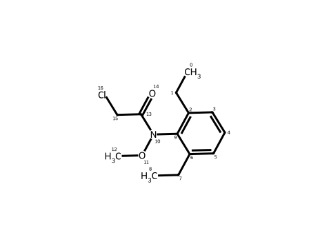 CCc1cccc(CC)c1N(OC)C(=O)CCl